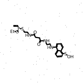 C=CP(OCC)SCCNC(=O)CCC(=O)NCCNc1cccc2c(SO)cccc12